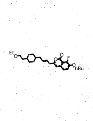 CCCCOc1ccc2cc(C/C=C/CC3CCC(CCOCC)CC3)oc(=O)c2c1F